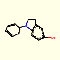 Oc1ccc2c(c1)CCN2C1C=CC=CC1